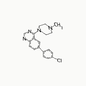 CN1CCN(c2ncnc3ccc(-c4ccc(Cl)cc4)cc23)CC1